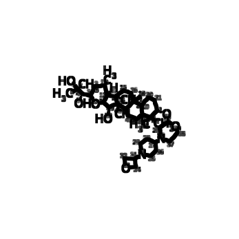 C[C@@H]1CC([C@H](O)C(C)(C)O)OC2[C@H]1[C@@]1(C)CCC34C[C@@]35CC[C@H](O[C@H]3CN(C6CCN(C7COC7)CC6)CCO3)C(C)(C)[C@@H]5CCC4[C@]1(C)[C@H]2O